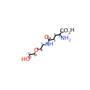 NC(CCC(=O)NCCOCCO)C(=O)O